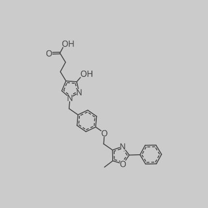 Cc1oc(-c2ccccc2)nc1COc1ccc(Cn2cc(CCC(=O)O)c(O)n2)cc1